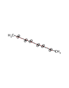 CCCCCCOC(=O)CCCCCCCCC(=O)OCCCCOC(=O)CCCCCCCCC(=O)OCCCCOC(=O)CCCCCCCCC(=O)OCCCCCC